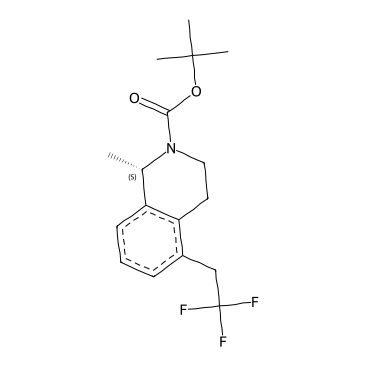 C[C@H]1c2cccc(CC(F)(F)F)c2CCN1C(=O)OC(C)(C)C